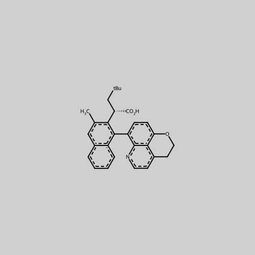 Cc1cc2ccccc2c(-c2ccc3c4c(ccnc24)CCO3)c1[C@H](CC(C)(C)C)C(=O)O